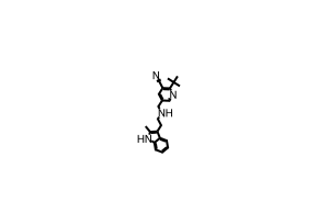 Cc1[nH]c2ccccc2c1CCNCc1cnc(C(C)(C)C)c(C#N)c1